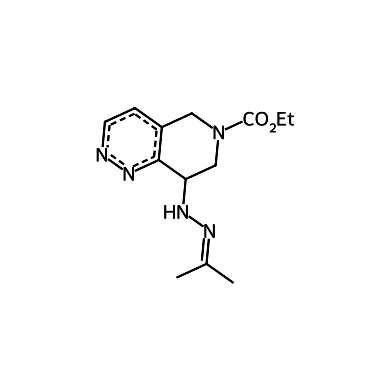 CCOC(=O)N1Cc2ccnnc2C(NN=C(C)C)C1